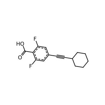 O=C(O)c1c(F)cc(C#CC2CCCCC2)cc1F